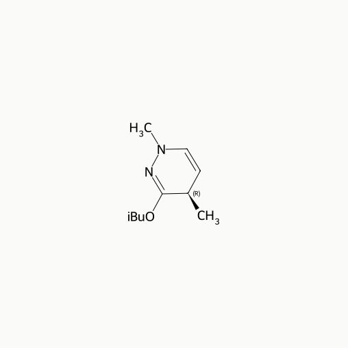 CC(C)COC1=NN(C)C=C[C@H]1C